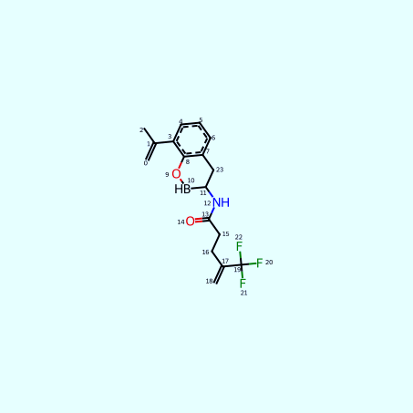 C=C(C)c1cccc2c1OBC(NC(=O)CCC(=C)C(F)(F)F)C2